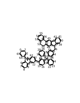 c1ccc(-n2c3ccccc3c3cc(-c4cccc([Si](c5ccccc5)(c5ccccc5)c5ccc(CC6c7ccccc7-c7cc8c(cc76)CCc6ccccc6-8)cc5)c4)ccc32)cc1